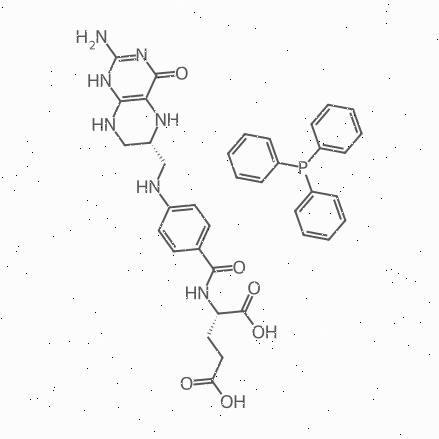 Nc1nc(=O)c2c([nH]1)NC[C@@H](CNc1ccc(C(=O)N[C@@H](CCC(=O)O)C(=O)O)cc1)N2.c1ccc(P(c2ccccc2)c2ccccc2)cc1